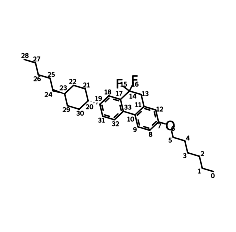 CCCCCCOc1ccc2c(c1)CC(F)(F)c1cc([C@H]3CC[C@H](CCCCC)CC3)ccc1-2